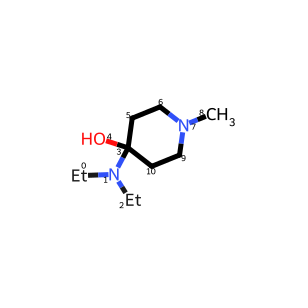 CCN(CC)C1(O)CCN(C)CC1